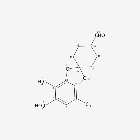 Cc1c(C(=O)O)cc(Cl)c2c1OC1(CCC(C=O)CC1)O2